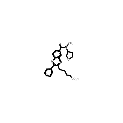 CN(C(=O)c1ccc2nc(-c3ccccc3)c(CCCCC(=O)O)nc2c1)C1CCOC1